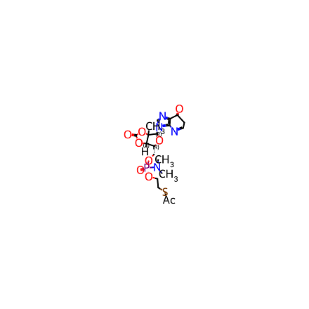 CC(=O)SCCOP(=O)(OC[C@H]1O[C@@H](n2cnc3c2N=CCC3=O)C2(C)OC(=O)O[C@@H]12)N(C)C